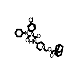 O=C(NC1CCN(COC(=O)C23CC4CC(CC(C4)C2)C3)CC1)n1c(=O)n(C2CCCCC2)c2cc(Cl)ccc21